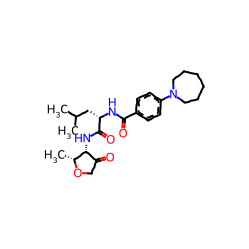 CC(C)C[C@H](NC(=O)c1ccc(N2CCCCCC2)cc1)C(=O)N[C@@H]1C(=O)CO[C@@H]1C